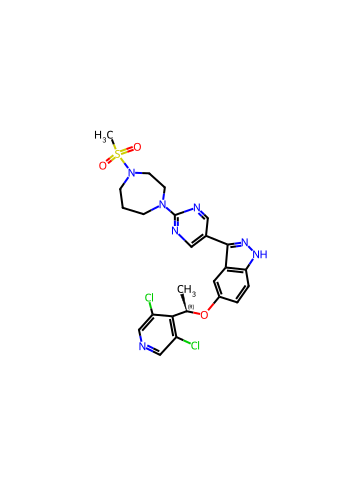 C[C@@H](Oc1ccc2[nH]nc(-c3cnc(N4CCCN(S(C)(=O)=O)CC4)nc3)c2c1)c1c(Cl)cncc1Cl